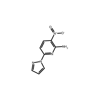 Nc1nc(-n2cccn2)ccc1[N+](=O)[O-]